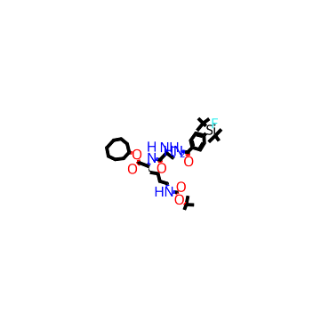 CC(C)(C)OC(=O)NCCCC[C@@H](NC(=O)[C@H](N)CNC(=O)c1ccc([Si](F)(C(C)(C)C)C(C)(C)C)cc1)C(=O)OC1CCCCCCC1